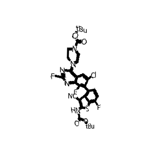 CC(C)(C)OC(=O)Nc1sc2c(F)ccc(-c3c(Cl)cc4c(N5CCN(C(=O)OC(C)(C)C)CC5)nc(F)nc4c3F)c2c1C#N